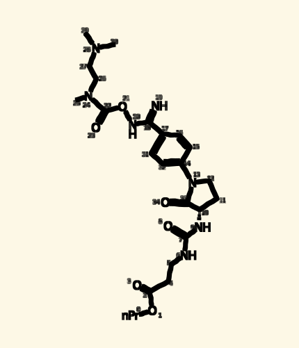 CCCOC(=O)CCNC(=O)N[C@H]1CCN(c2ccc(C(=N)NOC(=O)N(C)CCN(C)C)cc2)C1=O